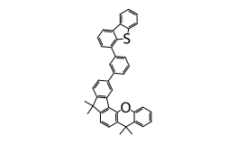 CC1(C)c2ccccc2Oc2c1ccc1c2-c2cc(-c3cccc(-c4cccc5c4sc4ccccc45)c3)ccc2C1(C)C